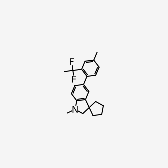 Cc1ccc(-c2ccc3c(c2)C2(CCCC2)CN3C)c(C(C)(F)F)c1